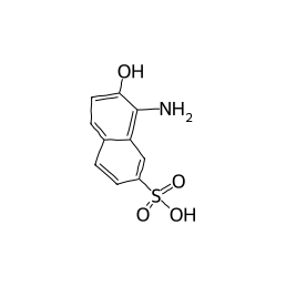 Nc1c(O)ccc2ccc(S(=O)(=O)O)cc12